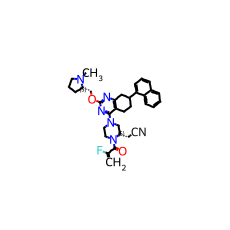 C=C(F)C(=O)N1CCN(c2nc(OC[C@@H]3CCCN3C)nc3c2CCC(c2cccc4ccccc24)C3)C[C@@H]1CC#N